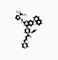 CC(C)N1CCC[C@H]1COc1nc2c(c(N3CCN(C(=O)/C=C/CN4CCOCC4)[C@@H](CC#N)C3)n1)CC[C@H](N1CCCc3ccccc31)C2